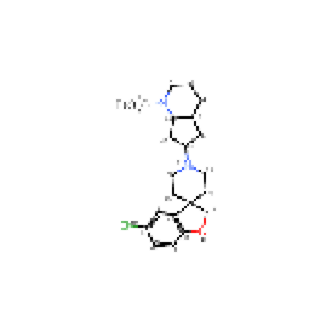 CCOC(=O)N1CCCC2CC(N3CCC4(CC3)COc3ccc(Cl)cc34)CC21